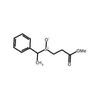 COC(=O)CC[S+]([O-])C(C)c1ccccc1